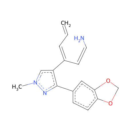 C=C/C=C(\C=C/N)c1cn(C)nc1-c1ccc2c(c1)OCO2